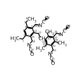 CCc1cc(CC)c(CN=C=O)c(CC)c1CN=C=O.Cc1cc(C)c(CN=C=O)c(C)c1CN=C=O